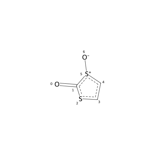 O=c1scc[s+]1[O-]